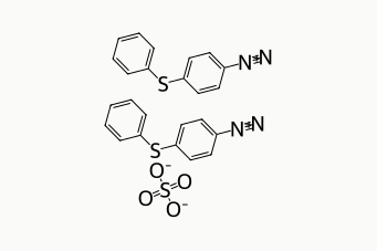 N#[N+]c1ccc(Sc2ccccc2)cc1.N#[N+]c1ccc(Sc2ccccc2)cc1.O=S(=O)([O-])[O-]